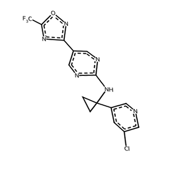 FC(F)(F)c1nc(-c2cnc(NC3(c4cncc(Cl)c4)CC3)nc2)no1